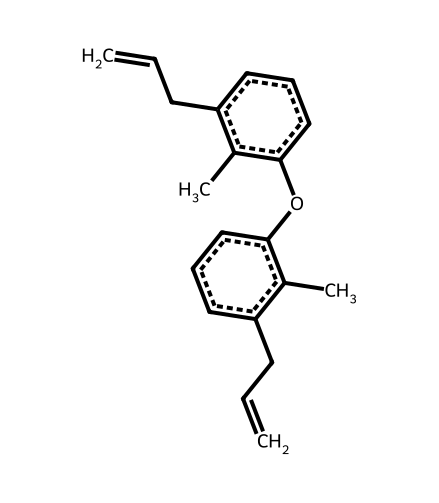 C=CCc1cccc(Oc2cccc(CC=C)c2C)c1C